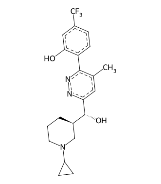 Cc1cc([C@H](O)[C@@H]2CCCN(C3CC3)C2)nnc1-c1ccc(C(F)(F)F)cc1O